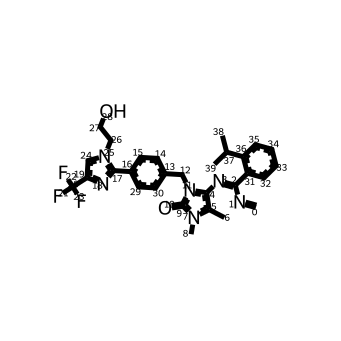 C=N/C(=N\c1c(C)n(C)c(=O)n1Cc1ccc(-c2nc(C(F)(F)F)cn2CCO)cc1)c1ccccc1C(C)C